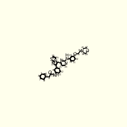 O=C(Cc1ccccc1)Nc1cccc(-c2nc3sccn3c2-c2ccnc(Nc3cccc(OCCN4CCOCC4)c3)n2)c1